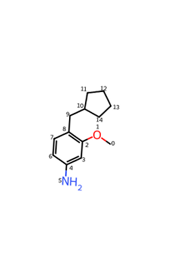 COc1cc(N)ccc1CC1CCCC1